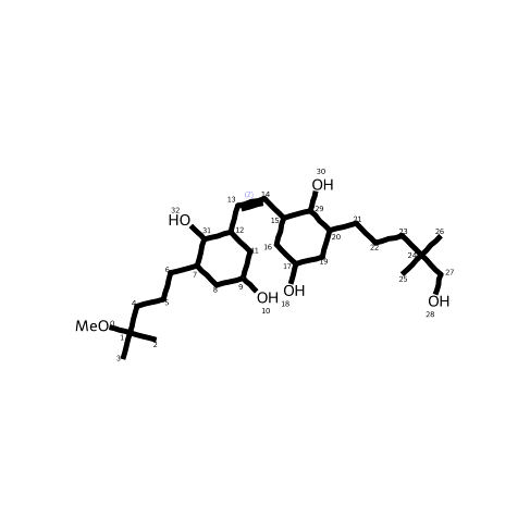 COC(C)(C)CCCC1CC(O)CC(/C=C\C2CC(O)CC(CCCC(C)(C)CO)C2O)C1O